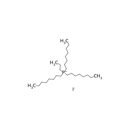 CCCCCCCC[P+](CCC)(CCCCCCCC)CCCCCCCC.[I-]